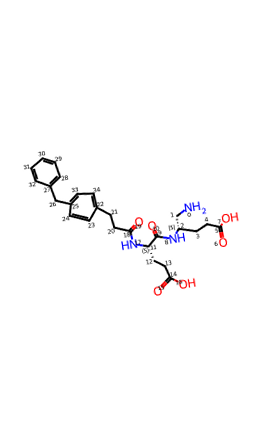 NC[C@H](CCC(=O)O)NC(=O)[C@H](CCC(=O)O)NC(=O)CCc1ccc(Cc2ccccc2)cc1